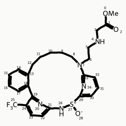 COC(=O)CNCCN1CCCCCc2ccccc2-c2nc(ccc2C(F)(F)F)N[S+]([O-])c2cccc1n2